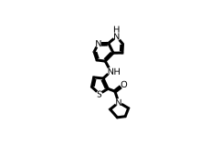 O=C(c1sccc1Nc1ccnc2[nH]ccc12)N1CCCC1